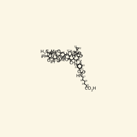 CO[C@H]([C@@H](C)C(=O)N[C@@H](Cc1ccc(OC(=O)NCCCCCC(=O)O)cc1)C(=O)NS(=O)(=O)C1CC1)[C@@H]1CCCN1C(=O)C[C@@H](OC)[C@H](C(C)C)N(C)C(=O)[C@@H](NC(=O)[C@H](C(C)C)N(C)C)C(C)C